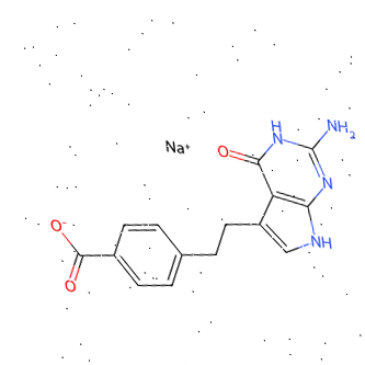 Nc1nc2[nH]cc(CCc3ccc(C(=O)[O-])cc3)c2c(=O)[nH]1.[Na+]